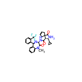 CN1C(=O)C(NC(=O)[C@H](CC2CC2)C2(C(N)=O)CC=CC2)N=C(c2ccccc2C(F)(F)F)c2ccccc21